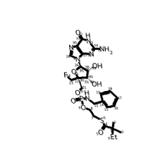 CCC(C)(C)C(=O)SCCOP(=O)(NCc1ccccc1)OC[C@@]1(CF)O[C@@H](n2cnc3c(=O)[nH]c(N)nc32)[C@H](O)[C@@H]1O